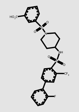 O=C(O)c1cccc(S(=O)(=O)N2CCC(NS(=O)(=O)c3ccc(-c4ccccc4F)cc3C(F)(F)F)CC2)c1